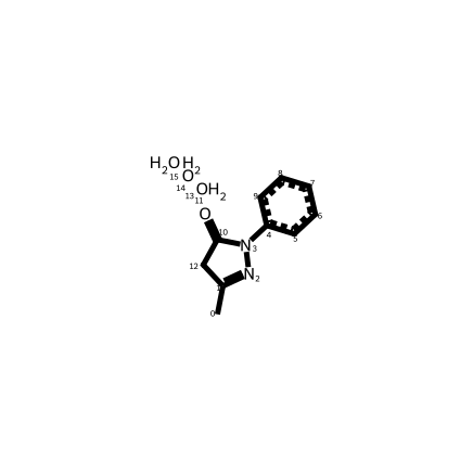 CC1=NN(c2ccccc2)C(=O)C1.O.O.O